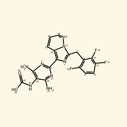 Nc1nc(-c2nc(Cc3c(F)ccc(F)c3F)n3ncccc23)nc(N)c1NC(=O)O